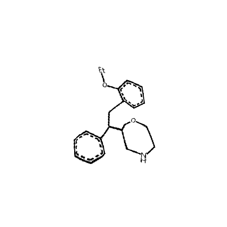 CCOc1ccccc1CC(c1ccccc1)C1CNCCO1